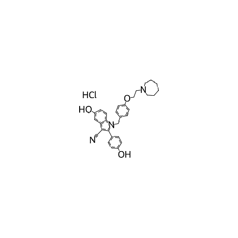 Cl.N#Cc1c(-c2ccc(O)cc2)n(Cc2ccc(OCCN3CCCCCC3)cc2)c2ccc(O)cc12